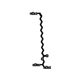 CCCCCCCC/C=C\CCCCCCCCCCCCCC(=O)OCC(CCCCCCCC)CCCCCCCCCC